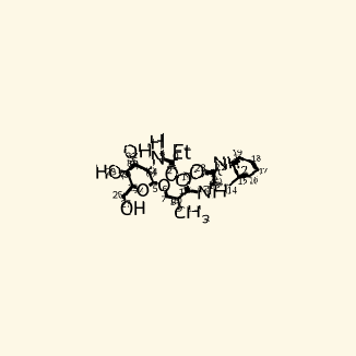 CCC(=O)N[C@@H]1C(OC[C@H](C)C(=O)N[C@@H](Cc2ccccc2)C(N)=O)OC(CO)[C@@H](O)[C@@H]1O